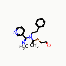 C=C(SCC=O)N(CCc1ccccc1)/C(=N\C)c1cccnc1